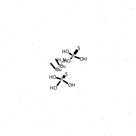 CCC(C)C.CCC(C)C.N.OP(O)(O)=S.OP(O)(O)=S